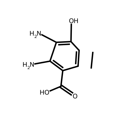 CC.Nc1c(O)ccc(C(=O)O)c1N